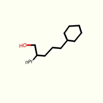 CCCC(CO)CCCC1CCCCC1